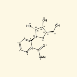 COC(=O)c1ncccc1[C@@H]1O[C@H](CO)[C@@H](O)[C@H]1O